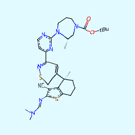 C[C@H]1CN(C(=O)OC(C)(C)C)CCCN1c1nccc(C2=NSCC([C@@]3(C)CCCc4sc(/N=C/N(C)C)c(C#N)c43)=C2)n1